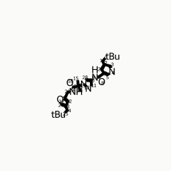 CC(C)(C)Cc1cncc(C(=O)Nc2cnn(C(C)(C)C(=O)NCc3cc(CC(C)(C)C)co3)c2)c1